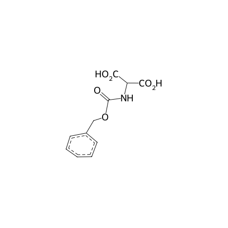 O=C(NC(C(=O)O)C(=O)O)OCc1ccccc1